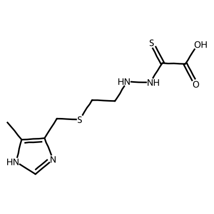 Cc1[nH]cnc1CSCCNNC(=S)C(=O)O